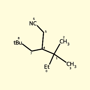 CCC(C)(C)C(CC#N)CC(C)(C)C